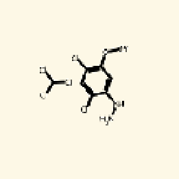 CC(C)Oc1cc(NN)c(Cl)cc1Cl.ClC(Cl)Cl